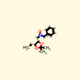 C=C[C@H]1OC(C)(C)O[C@H]1/C=[N+](/[O-])Cc1ccccc1